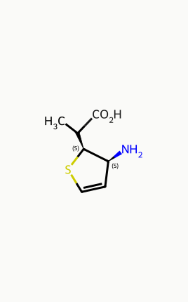 CC(C(=O)O)[C@@H]1SC=C[C@@H]1N